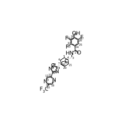 O=C(NC[C@]12CC[C@](c3nc(-c4cnc(C(F)(F)F)cn4)no3)(CC1)CC2)c1cc(F)c(O)c(F)c1F